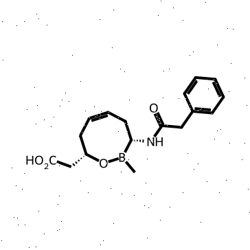 CB1O[C@H](CC(=O)O)C/C=C\C[C@@H]1NC(=O)Cc1ccccc1